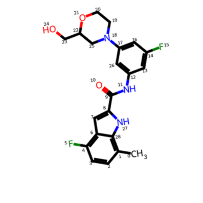 Cc1ccc(F)c2cc(C(=O)Nc3cc(F)cc(N4CCOC(CO)C4)c3)[nH]c12